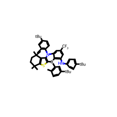 Cc1ccc(C(C)(C)C)cc1B1c2sc3c(c2N(c2ccc(C(C)(C)C)cc2C)c2cc(C(F)(F)F)cc(Nc4ccc(C(C)(C)C)cc4)c21)C(C)(C)CCC3(C)C